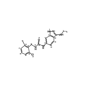 CCNc1n[nH]c2cc(NC(=O)NCc3c(C)cccc3Cl)ncc12